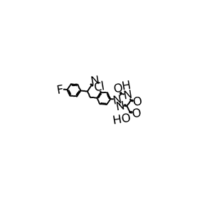 N#CC(Cc1ccc(-n2nc(C(=O)O)c(=O)[nH]c2=O)cc1Cl)c1ccc(F)cc1